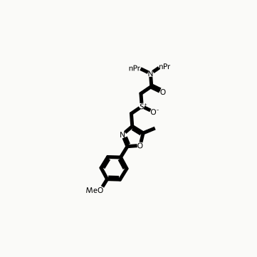 CCCN(CCC)C(=O)C[S+]([O-])Cc1nc(-c2ccc(OC)cc2)oc1C